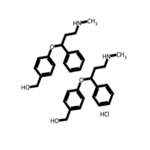 CNCCC(Oc1ccc(CO)cc1)c1ccccc1.CNCCC(Oc1ccc(CO)cc1)c1ccccc1.Cl